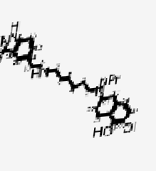 CCCN(CCCCCCNCCc1ccc2[nH][nH]c(=O)c2c1)C1CCc2c(ccc(O)c2O)C1